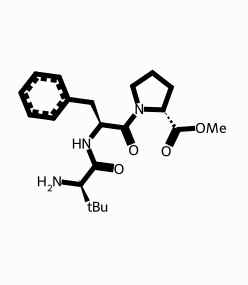 COC(=O)[C@H]1CCCN1C(=O)[C@H](Cc1ccccc1)NC(=O)[C@H](N)C(C)(C)C